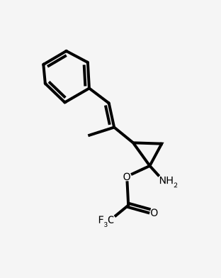 C/C(=C\c1ccccc1)C1CC1(N)OC(=O)C(F)(F)F